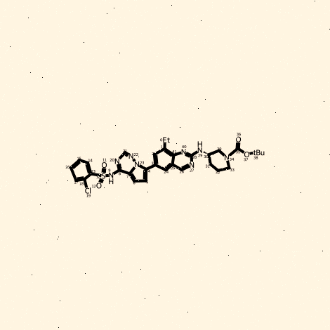 CCc1cc(-c2ccc3c(NS(=O)(=O)c4ccccc4Cl)ncnn23)cc2cnc(N[C@H]3CCCN(C(=O)OC(C)(C)C)C3)nc12